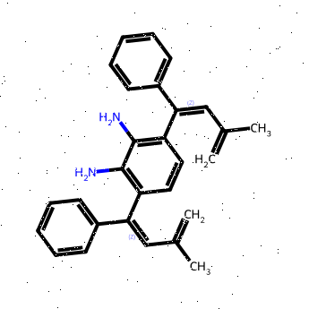 C=C(C)/C=C(/c1ccccc1)c1ccc(/C(=C\C(=C)C)c2ccccc2)c(N)c1N